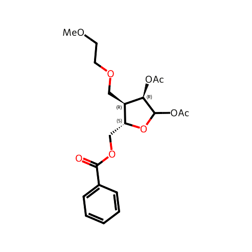 COCCOC[C@@H]1[C@@H](COC(=O)c2ccccc2)OC(OC(C)=O)[C@@H]1OC(C)=O